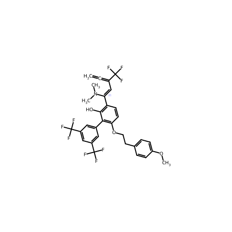 C=C=C(/C=C(/c1ccc(OCCc2ccc(OC)cc2)c(-c2cc(C(F)(F)F)cc(C(F)(F)F)c2)c1O)N(C)C)C(F)(F)F